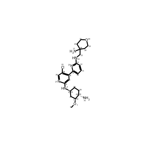 CO[C@H]1C[C@@H](Nc2cc(-c3cccc(NCC4(N)CCOCC4)n3)c(Cl)cn2)CC[C@@H]1N